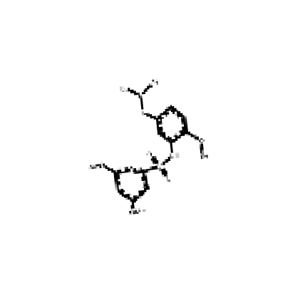 CCN(CC)Sc1ccc(OC(C)C)c(NS(=O)(=O)c2cc(OC)cc(OC)c2)c1